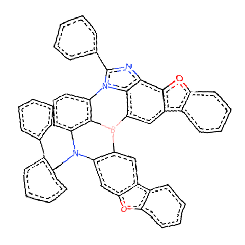 c1ccc(-c2ccccc2N2c3cc4oc5ccccc5c4cc3B3c4c2cccc4-n2c(-c4ccccc4)nc4c5oc6ccccc6c5cc3c42)cc1